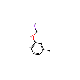 Cc1cccc(OCI)c1